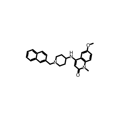 COc1ccc2c(c1)c(NC1CCN(Cc3ccc4ccccc4c3)CC1)cc(=O)n2C